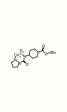 CN(C(=O)[C@H]1CCCN1C)C1CCN(C(=O)OC(C)(C)C)CC1